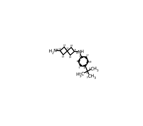 CC(C)(C)c1ccc(NC2CC3(CC(N)C3)C2)cc1